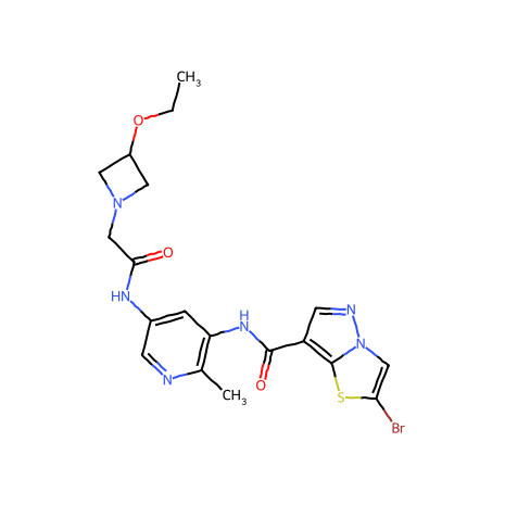 CCOC1CN(CC(=O)Nc2cnc(C)c(NC(=O)c3cnn4cc(Br)sc34)c2)C1